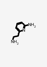 NCCc1cccc(N)n1